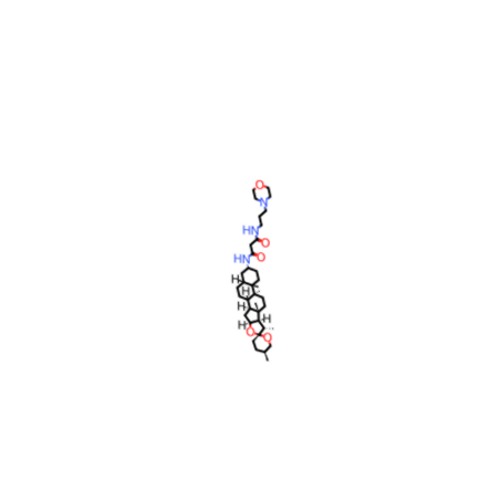 C[C@H]1CC[C@@]2(OC1)O[C@H]1C[C@H]3[C@@H]4CC[C@@H]5C[C@H](NC(=O)CC(=O)NCCCN6CCOCC6)CC[C@]5(C)[C@@]4(C)CC[C@]3(C)[C@H]1[C@@H]2C